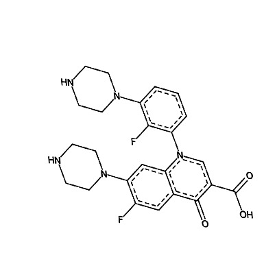 O=C(O)c1cn(-c2cccc(N3CCNCC3)c2F)c2cc(N3CCNCC3)c(F)cc2c1=O